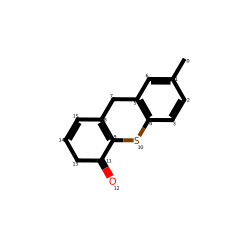 Cc1ccc2c(c1)CC1=C(S2)C(=O)CC=C1